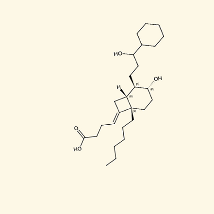 CCCCCC[C@]12CC[C@@H](O)[C@H](CCC(O)C3CCCCC3)[C@H]1CC2=CCCC(=O)O